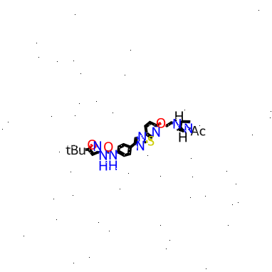 CC(=O)N1C[C@@H]2C[C@H]1CN2CCOc1ccc2c(n1)sc1nc(-c3ccc(NC(=O)Nc4cc(C(C)(C)C)on4)cc3)cn12